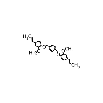 CC=Cc1ccc(OCc2ccc(COc3ccc(C=CC)cc3OC)cc2)c(OC)c1